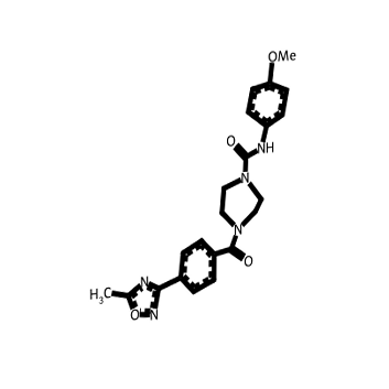 COc1ccc(NC(=O)N2CCN(C(=O)c3ccc(-c4noc(C)n4)cc3)CC2)cc1